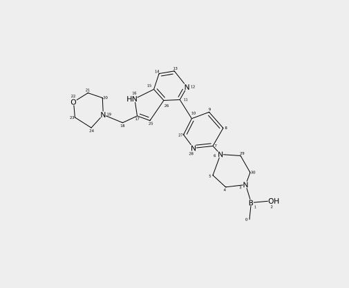 CB(O)N1CCN(c2ccc(-c3nccc4[nH]c(CN5CCOCC5)cc34)cn2)CC1